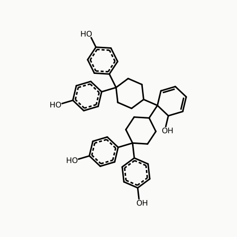 Oc1ccc(C2(c3ccc(O)cc3)CCC(C3(C4CCC(c5ccc(O)cc5)(c5ccc(O)cc5)CC4)C=CC=CC3O)CC2)cc1